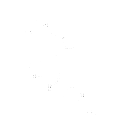 C=C1C=C(c2ccnc3[nH]c(-c4ccc(C(F)(F)F)nc4)cc23)C=C(N2CCCCC2C(F)(F)F)N1